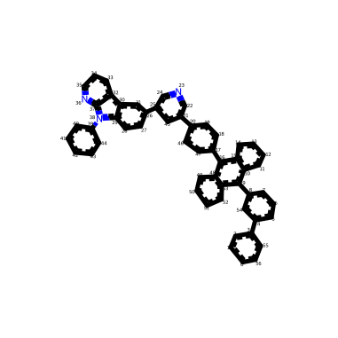 c1ccc(-c2cccc(-c3c4ccccc4c(-c4ccc(-c5cncc(-c6ccc7c(c6)c6cccnc6n7-c6ccccc6)c5)cc4)c4ccccc34)c2)cc1